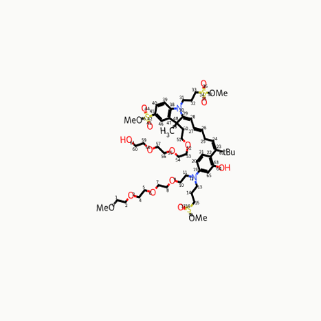 COCCOCCOCCOCCN(CCCS(=O)OC)c1ccc(/C(=C\C/C=C/C=C2/N(CCCS(=O)(=O)OC)c3ccc(S(=O)(=O)OC)cc3C2(C)CCOCCOCCOCCO)C(C)(C)C)c(O)c1